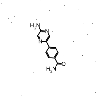 NC(=O)c1ccc(-c2cnc(N)cn2)cc1